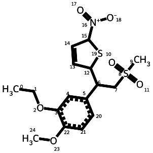 CCOc1cc(C(CS(C)(=O)=O)C2C=CC([N+](=O)[O-])S2)ccc1OC